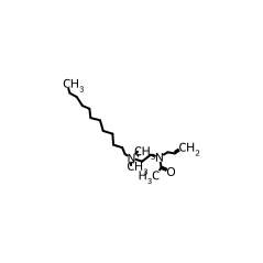 C=CCN(CC[N+](C)(C)CCCCCCCCCCCC)C(C)=O